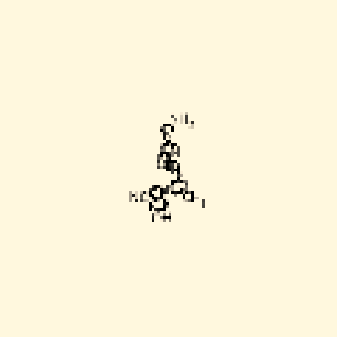 CC1CN(c2ccc(C#N)c3nc(O)ccc23)CC(CN2CC3(C2)OCc2cc(N4CCC(N)C4)cnc23)O1